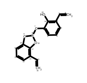 C=Cc1cccc(OB2Oc3cccc(C=C)c3O2)c1O